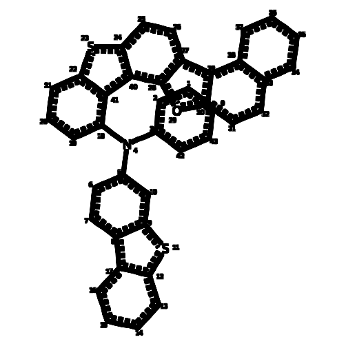 c1ccc(N(c2ccc3c(c2)sc2ccccc23)c2cccc3sc4ccc5c(oc6ccc7ccccc7c65)c4c23)cc1